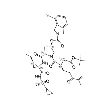 C=C(C)C(=O)CC[C@H](NC(=O)OC(C)(C)C)C(=O)N1C[C@H](OC(=O)N2Cc3cccc(F)c3C2)C[C@H]1C(=O)N[C@]1(C(=O)NS(=O)(=O)C2CC2)C[C@H]1CC